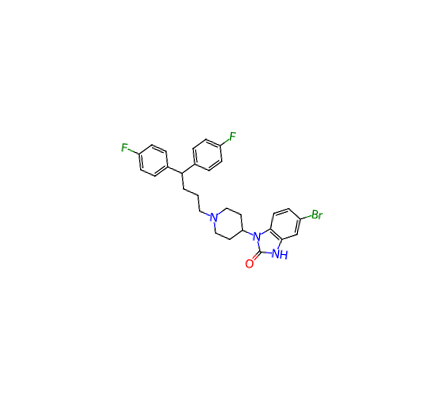 O=c1[nH]c2cc(Br)ccc2n1C1CCN(CCCC(c2ccc(F)cc2)c2ccc(F)cc2)CC1